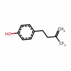 C=C(CCc1ccc(O)cc1)C(F)(F)F